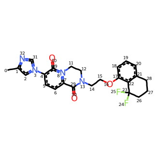 Cc1cn(-c2ccc3n(c2=O)CCN(CCOc2cccc4c2C(F)(F)CCC4)C3=O)cn1